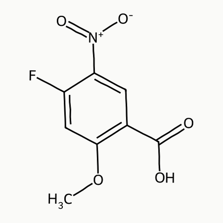 COc1cc(F)c([N+](=O)[O-])cc1C(=O)O